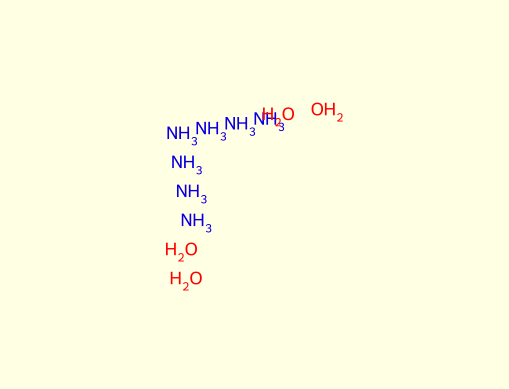 N.N.N.N.N.N.N.O.O.O.O